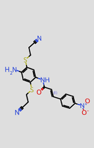 N#CCCSc1cc(NC(=O)/C=C/c2ccc([N+](=O)[O-])cc2)c(SCCC#N)cc1N